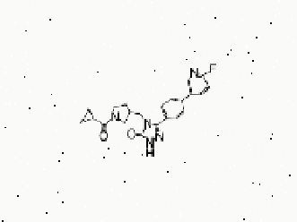 O=C(C1CC1)N1CC[C@@H](Cn2c(-c3ccc(-c4ccc(F)nc4)cc3)n[nH]c2=O)C1